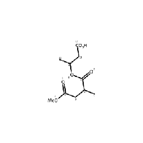 COC(=O)CC(C)C(=O)OC(C)CC(=O)O